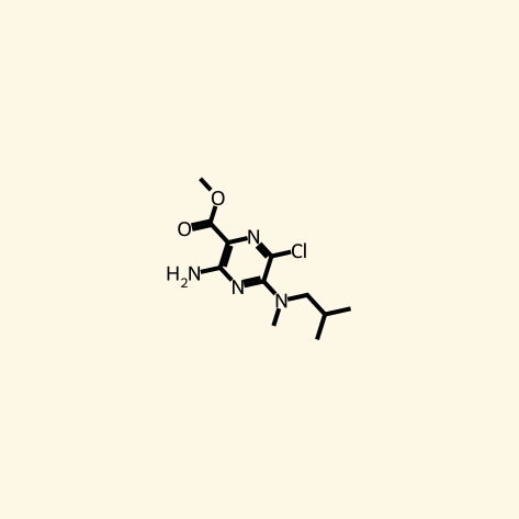 COC(=O)c1nc(Cl)c(N(C)CC(C)C)nc1N